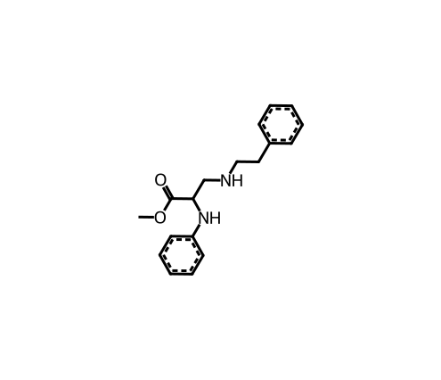 COC(=O)C(CNCCc1ccccc1)Nc1ccccc1